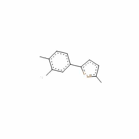 CCCCCCCCc1ccc(-c2ccc(C)s2)cc1C#N